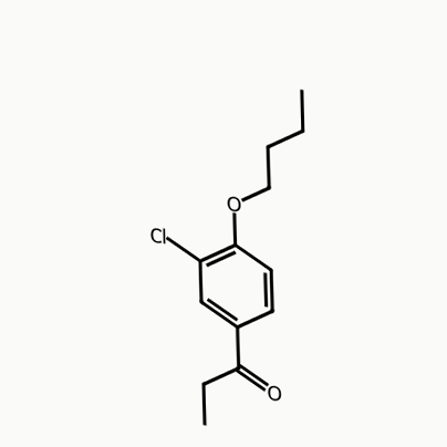 CCCCOc1ccc(C(=O)CC)cc1Cl